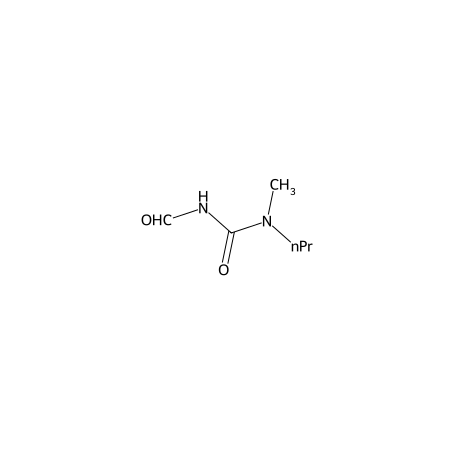 CCCN(C)C(=O)NC=O